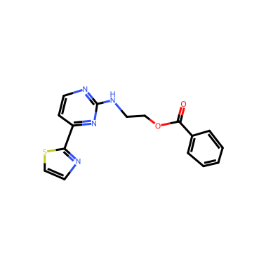 O=C(OCCNc1nccc(-c2nccs2)n1)c1ccccc1